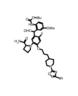 COc1ccc(NC(=O)OC(C)(C)C)c(C(C=O)c2cc(N3CCCC3C(N)=O)c(OCCCC3CCN(c4nc(C(C)C)no4)CC3)cc2F)c1